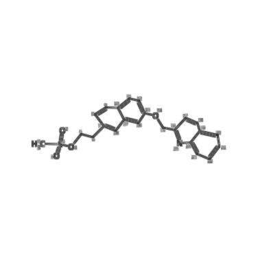 CS(=O)(=O)OCCc1ccc2ccc(OCc3ccc4ccccc4n3)cc2c1